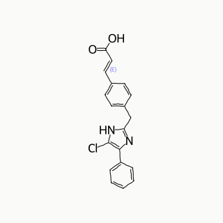 O=C(O)/C=C/c1ccc(Cc2nc(-c3ccccc3)c(Cl)[nH]2)cc1